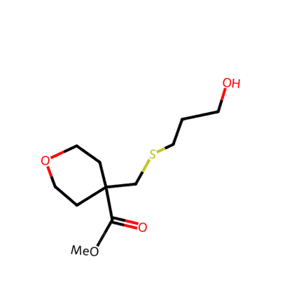 COC(=O)C1(CSCCCO)CCOCC1